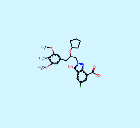 COc1cc([C@@H](O)[C@H](Cn2cc3cc(F)cc(C(=O)O)c3n2)OC2CCCC2)cc(OC)c1C